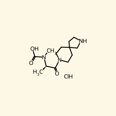 C[C@H](C(=O)N1CCC2(CCNC2)CC1)N(C)C(=O)O.Cl